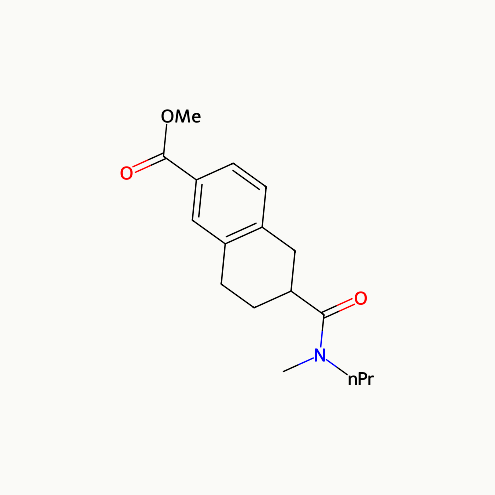 CCCN(C)C(=O)C1CCc2cc(C(=O)OC)ccc2C1